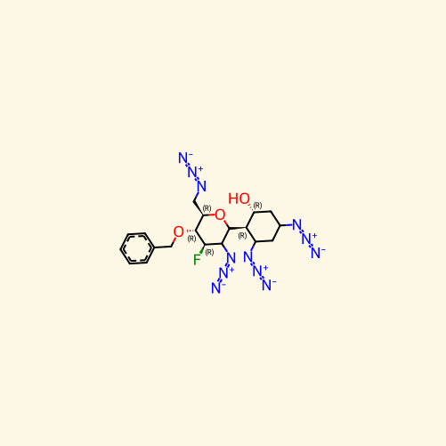 [N-]=[N+]=NC[C@H]1OC([C@@H]2C(N=[N+]=[N-])CC(N=[N+]=[N-])C[C@H]2O)C(N=[N+]=[N-])[C@@H](F)[C@@H]1OCc1ccccc1